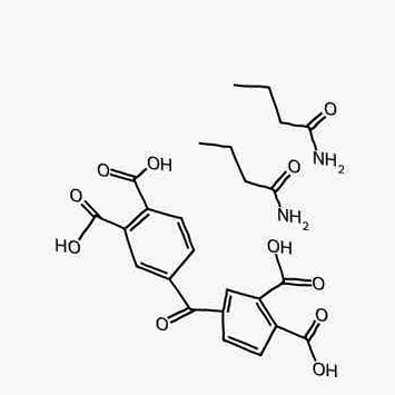 CCCC(N)=O.CCCC(N)=O.O=C(c1ccc(C(=O)O)c(C(=O)O)c1)c1ccc(C(=O)O)c(C(=O)O)c1